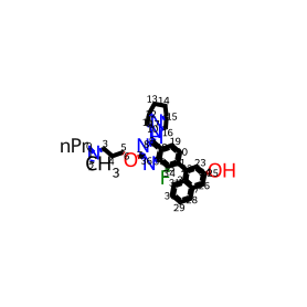 CCCN(C)CCCOc1nc(N2CC3CCC(C2)N3)c2ccc(-c3cc(O)cc4ccccc34)c(F)c2n1